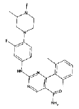 Cc1cccc(C)c1-c1nc(Nc2ccc(N3CCN(C)C(C)C3)c(F)c2)ncc1C(N)=O